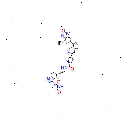 Cc1c(C#CCNC(=O)c2ccc(-c3cc4cccc(-c5cc(C(C)C)c6c(c5)n(C)c(=O)n6C)c4cn3)cn2)ccc2c1c(N1CCC(=O)NC1=O)nn2C